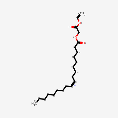 C=COC(=O)COC(=O)CCCCCCC/C=C\CCCCCCCC